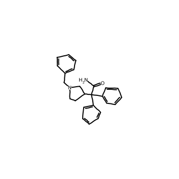 NC(=O)C(c1ccccc1)(c1ccccc1)C1CCN(Cc2ccccc2)C1